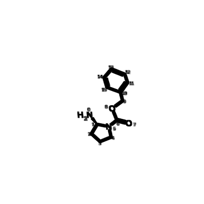 N[C@@H]1CCCN1C(=O)OCc1ccccc1